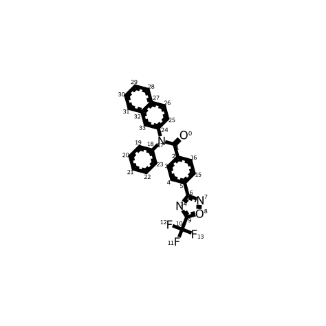 O=C(c1ccc(-c2noc(C(F)(F)F)n2)cc1)N(c1ccccc1)c1ccc2ccccc2c1